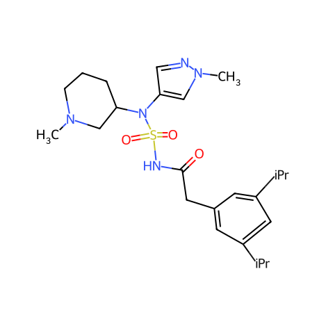 CC(C)c1cc(CC(=O)NS(=O)(=O)N(c2cnn(C)c2)C2CCCN(C)C2)cc(C(C)C)c1